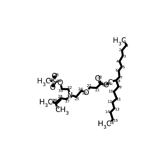 CCCCCCCCC(CCCCCCCC)COC(=O)CCOCCN(CC=C(C)C)CCOS(C)(=O)=O